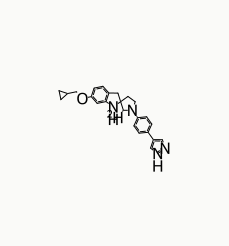 [2H]C1N(c2ccc(-c3cn[nH]c3)cc2)CCC12Cc1ccc(OCC3CC3)cc1N2